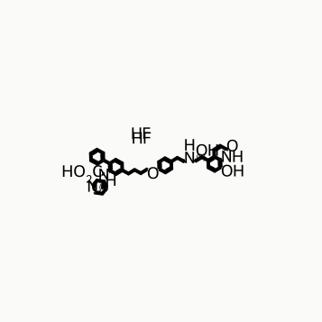 F.F.O=C(O)N(c1cc(CCCCOc2ccc(CCNC[C@H](O)c3ccc(O)c4[nH]c(=O)ccc34)cc2)ccc1-c1ccccc1)[C@H]1CN2CCC1CC2